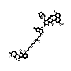 C#Cc1c(F)ccc2cc(O)cc(-c3ncc4c(N5CC6CCC(C5)N6)nc(OC[C@@]56CC[C@@H](COC(=O)NCCOCCNc7cccc8c7C(=O)N(C7CCC(=O)NC7=O)C8=O)N5CC(=C)C6)nc4c3F)c12